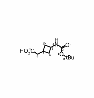 CC(C)(C)OC(=O)NC1CC(CC(=O)O)C1